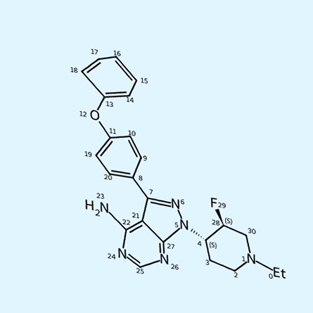 CCN1CC[C@H](n2nc(-c3ccc(Oc4ccccc4)cc3)c3c(N)ncnc32)[C@@H](F)C1